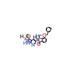 COc1n[nH]c2ncc(NC(=O)c3cccc(OCc4ccccc4)c3C)cc12